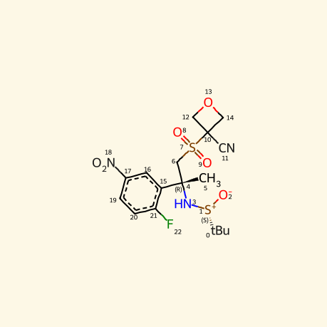 CC(C)(C)[S@@+]([O-])N[C@@](C)(CS(=O)(=O)C1(C#N)COC1)c1cc([N+](=O)[O-])ccc1F